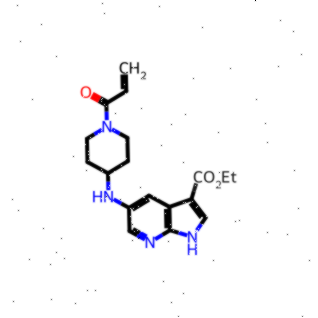 C=CC(=O)N1CCC(Nc2cnc3[nH]cc(C(=O)OCC)c3c2)CC1